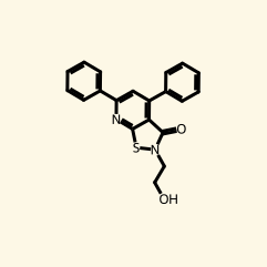 O=c1c2c(-c3ccccc3)cc(-c3ccccc3)nc2sn1CCO